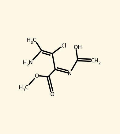 C=C(O)/N=C(C(=O)OC)\C(Cl)=C(\C)N